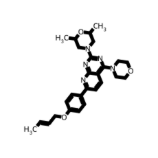 CC=CCOc1ccc(-c2ccc3c(N4CCOCC4)nc(N4CC(C)OC(C)C4)nc3n2)cc1